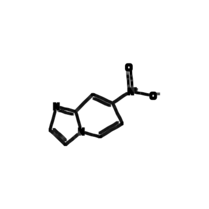 O=[N+]([O-])c1ccn2ccnc2c1